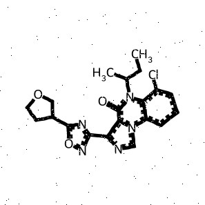 CCC(C)n1c(=O)c2c(-c3noc(C4CCOC4)n3)ncn2c2cccc(Cl)c21